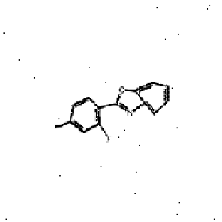 Cc1ccc(-c2nc3ccccc3o2)c(F)c1